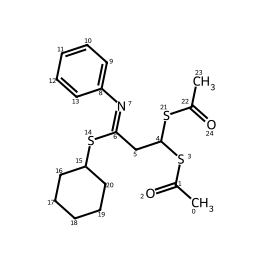 CC(=O)SC(CC(=Nc1ccccc1)SC1CCCCC1)SC(C)=O